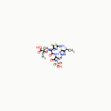 CCc1cnn(C[C@@H]2[C@H](NC(=O)/C(=N\OC(C)(C)C(=O)O)c3csc(N)n3)C(=O)N2S(=O)(=O)O)n1